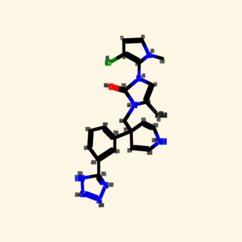 CCCCc1cn(-c2c(Cl)ccn2C)c(=O)n1CC1(c2cccc(-c3nnn[nH]3)c2)C=CNC=C1